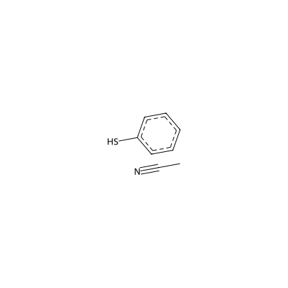 CC#N.Sc1ccccc1